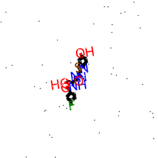 O=C(NC(CO)c1nc(-c2nc3ccc(O)cc3s2)no1)c1ccc(F)cc1